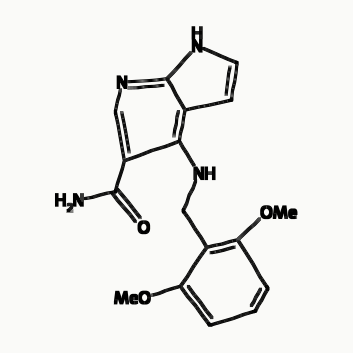 COc1cccc(OC)c1CNc1c(C(N)=O)cnc2[nH]ccc12